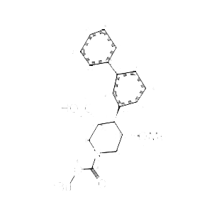 CO[C@@H]1CN(C(=O)OC(C)(C)C)C[C@H](C(=O)O)[C@H]1c1cccc(-c2ccccc2)c1